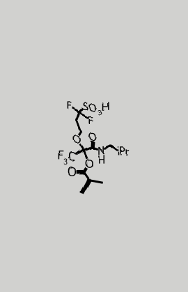 C=C(C)C(=O)OC(OCCC(F)(F)S(=O)(=O)O)(C(=O)NCC(C)C)C(F)(F)F